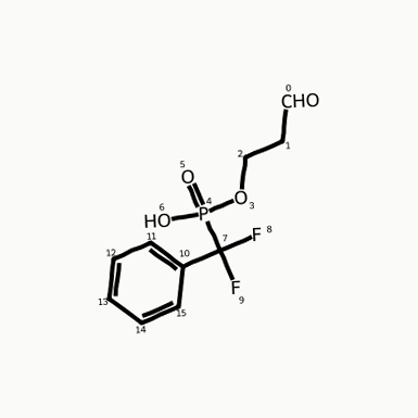 O=CCCOP(=O)(O)C(F)(F)c1ccccc1